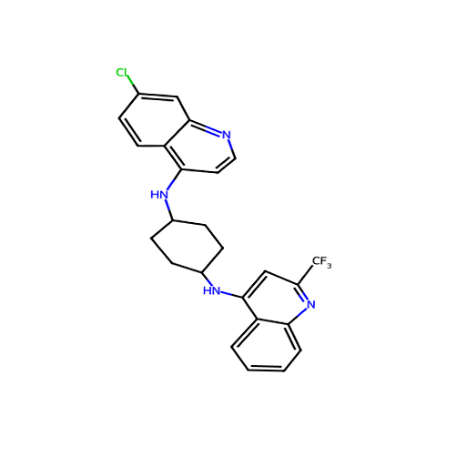 FC(F)(F)c1cc(NC2CCC(Nc3ccnc4cc(Cl)ccc34)CC2)c2ccccc2n1